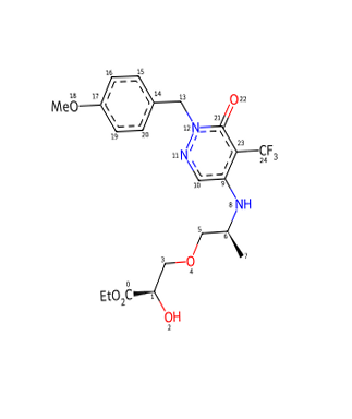 CCOC(=O)[C@H](O)COC[C@H](C)Nc1cnn(Cc2ccc(OC)cc2)c(=O)c1C(F)(F)F